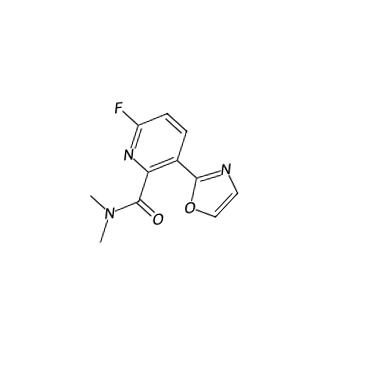 CN(C)C(=O)c1nc(F)ccc1-c1ncco1